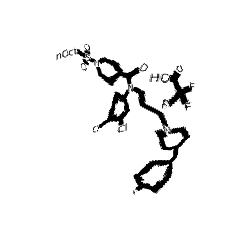 CCCCCCCCS(=O)(=O)N1CCC(C(=O)N(CCCN2CCC(Cc3ccc(F)cc3)CC2)c2ccc(Cl)c(Cl)c2)CC1.O=C(O)C(F)(F)F